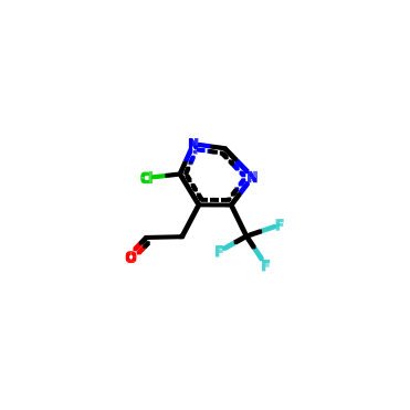 O=CCc1c(Cl)ncnc1C(F)(F)F